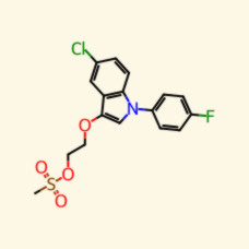 CS(=O)(=O)OCCOc1cn(-c2ccc(F)cc2)c2ccc(Cl)cc12